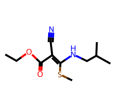 CCOC(=O)/C(C#N)=C(/NCC(C)C)SC